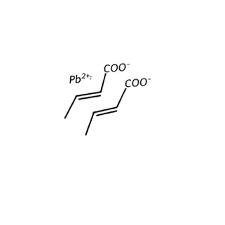 C/C=C/C(=O)[O-].C/C=C/C(=O)[O-].[Pb+2]